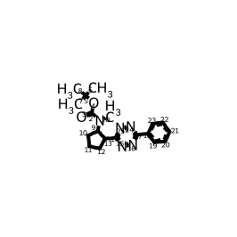 CN(C(=O)OC(C)(C)C)C1CCCC1c1nnc(-c2ccccc2)nn1